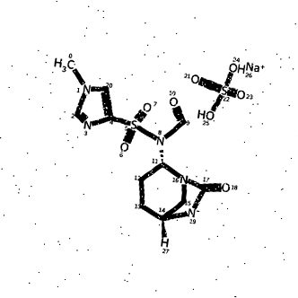 Cn1cnc(S(=O)(=O)N(C=O)[C@H]2CC[C@@H]3CN2C(=O)[N-]3)c1.O=S(=O)(O)O.[Na+]